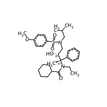 CCN(C(=O)C1CCCCC1)[C@@](C)(c1ccccc1)[C@H](O)CN(CC(C)C)S(=O)(=O)c1ccc(OC)cc1